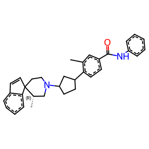 Cc1cc(C(=O)Nc2ccccc2)ccc1C1CCC(N2CCC3(C=Cc4ccccc43)[C@@H](C)C2)C1